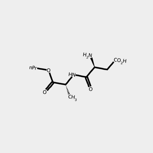 CCCOC(=O)[C@@H](C)NC(=O)[C@@H](N)CC(=O)O